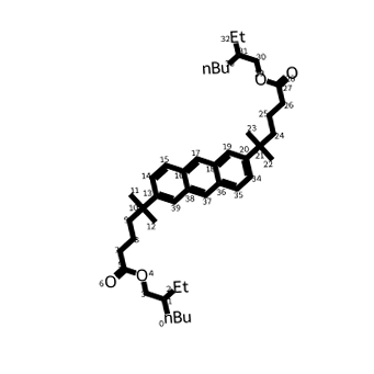 CCCCC(CC)COC(=O)CCCC(C)(C)c1ccc2cc3cc(C(C)(C)CCCC(=O)OCC(CC)CCCC)ccc3cc2c1